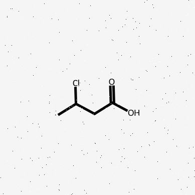 [CH2]C(Cl)CC(=O)O